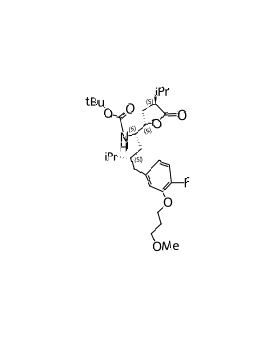 COCCCOc1cc(C[C@@H](C[C@H](NC(=O)OC(C)(C)C)[C@@H]2C[C@@H](C(C)C)C(=O)O2)C(C)C)ccc1F